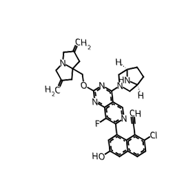 C#Cc1c(Cl)ccc2cc(O)cc(-c3ncc4c(N5C[C@H]6CC[C@@H](C5)N6)nc(OCC56CC(=C)CN5CC(=C)C6)nc4c3F)c12